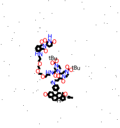 CC#C[C@]12CC[C@H]3[C@@H]4CCC5=CC(=O)CCC5=C4[C@@H](c4ccc(N(C)CCCC(=O)N5CCN(C(=O)OC(C)(C)C)CC5C(=O)N5CCN(C(=O)OC(C)(C)C)CC5C(=O)NCCCOCCOCCOCCCNc5cccc6c5C(=O)N(C5CCC(=O)NC5=O)C6=O)cc4)C[C@@]31CO2